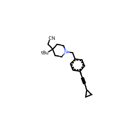 CC(C)(C)C1(CC#N)CCN(Cc2ccc(C#CC3CC3)cc2)CC1